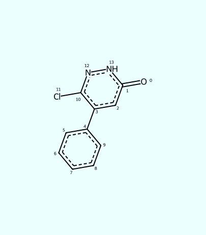 O=c1cc(-c2ccccc2)c(Cl)n[nH]1